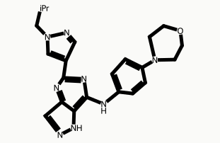 CC(C)Cn1cc(-c2nc(Nc3ccc(N4CCOCC4)cc3)c3[nH]ncc3n2)cn1